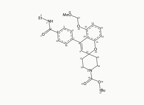 CCNC(=O)c1ccc(C2=CC3(CCN(C(=O)OC(C)(C)C)CC3)Oc3cccc(OCOC)c32)cc1